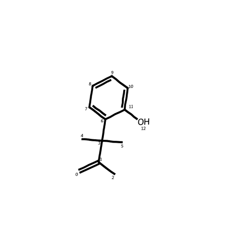 C=C(C)C(C)(C)c1ccccc1O